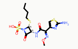 CCCCS[C@@H]1[C@H](NC(=O)C(=NOC)c2csc(N)n2)C(=O)N1S(=O)(=O)O